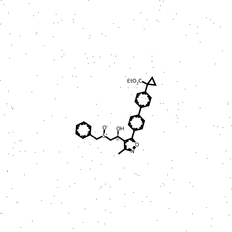 CCOC(=O)C1(c2ccc(-c3ccc(-c4onc(C)c4[C@H](O)C[S+]([O-])Cc4ccccc4)cc3)cc2)CC1